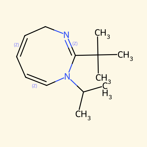 CC(C)N1/C=C\C=C/C/N=C\1C(C)(C)C